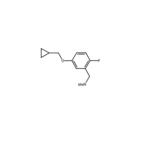 CNCc1cc(OCC2CC2)ccc1F